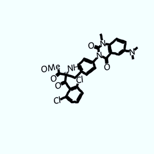 COC(=O)[C@@](N)(Cc1ccc(-n2c(=O)c3cc(N(C)C)ccc3n(C)c2=O)cc1)C(=O)c1c(Cl)cccc1Cl